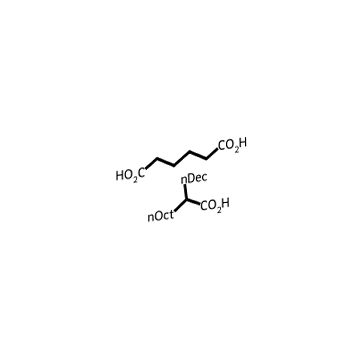 CCCCCCCCCCC(CCCCCCCC)C(=O)O.O=C(O)CCCCC(=O)O